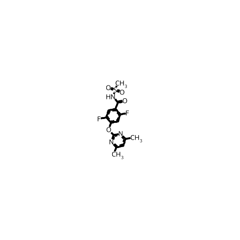 Cc1cc(C)nc(Oc2cc(F)c(C(=O)NS(C)(=O)=O)cc2F)n1